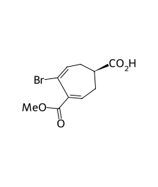 COC(=O)C1=CC[C@H](C(=O)O)CC=C1Br